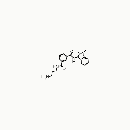 Cn1nc(NC(=O)c2cccc(C(=O)NCCCN)c2)c2ccccc21